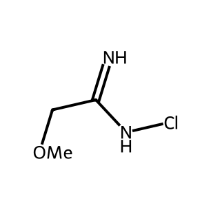 COCC(=N)NCl